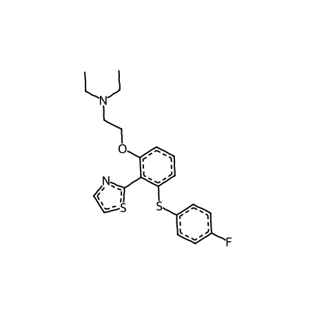 CCN(CC)CCOc1cccc(Sc2ccc(F)cc2)c1-c1nccs1